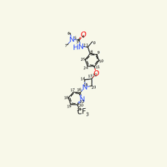 CC(NC(=O)N(C)C)c1ccc(OC2CN(c3cccc(C(F)(F)F)n3)C2)cc1